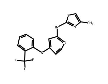 Cc1csc(Nc2cc(Sc3ccccc3C(F)(F)F)ccn2)n1